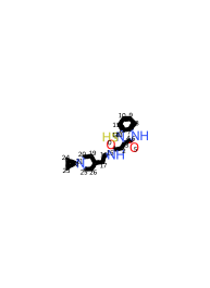 O=C(CC1C(=O)Nc2ccccc2N1S)NCCC1CCN(C2CC2)CC1